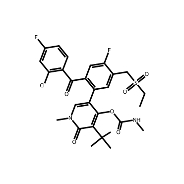 CCS(=O)(=O)Cc1cc(-c2cn(C)c(=O)c(C(C)(C)C)c2OC(=O)NC)c(C(=O)c2ccc(F)cc2Cl)cc1F